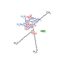 CCCCCCCCCCCCCCCC(=O)NC(CSCC(COC(=O)CCCCCCCCCCCCCCC)OC(=O)CCCCCCCCCCCCCCC)C(=O)NC(CO)C(=O)NC(CCCCN)C(=O)NC(CCCCN)C(=O)NC(CCCCN)C(=O)NC(CCCCN)C(=O)O.Cl.Cl.Cl